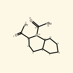 CC(C)C(=O)C1CCC2CCCCC2N1C(=O)C(C)(C)C